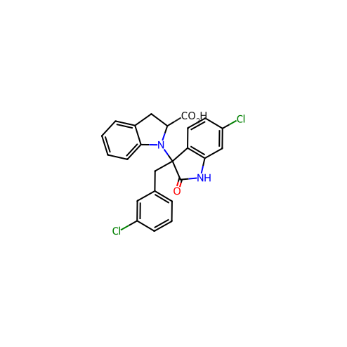 O=C(O)C1Cc2ccccc2N1C1(Cc2cccc(Cl)c2)C(=O)Nc2cc(Cl)ccc21